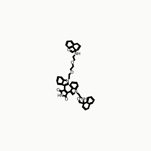 O=CC1(NCCOCCOCCn2cc(C3=C(c4cn(CCNC5(C=O)C=CCc6ccccc65)c5ccccc45)C(=O)NC3=O)c3ccccc32)C=CCc2ccccc21